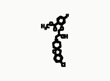 COC(=O)c1ccc(F)cc1OC[C@@H](O)CN1CCC2(CC1)Cc1cc(Cl)ccc1O2